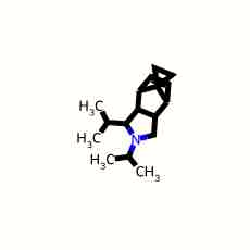 CC(C)C1C2C(CN1C(C)C)C1C=CC2C12CC2